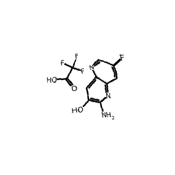 Nc1nc2cc(F)cnc2cc1O.O=C(O)C(F)(F)F